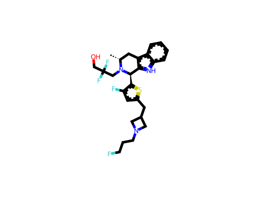 C[C@@H]1Cc2c([nH]c3ccccc23)[C@@H](c2sc(CC3CN(CCCF)C3)cc2F)N1CC(F)(F)CO